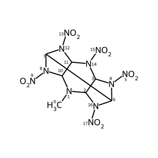 CN1C2C3N([N+](=O)[O-])C(C4N([N+](=O)[O-])C1C(N4[N+](=O)[O-])N3[N+](=O)[O-])N2[N+](=O)[O-]